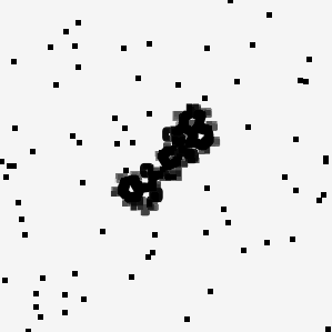 CO[C@@H](C(=O)NC1CCN(S(=O)(=O)c2cccc3cncc(Cl)c23)C1)c1ccccc1